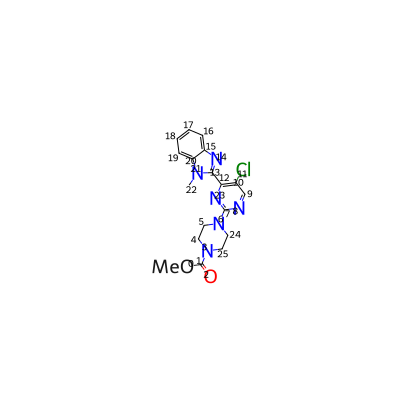 COC(=O)N1CCN(c2ncc(Cl)c(-c3nc4ccccc4n3C)n2)CC1